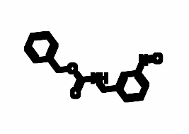 O=Nc1cccc(CNC(=O)OCc2ccccc2)c1